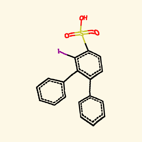 O=S(=O)(O)c1ccc(-c2ccccc2)c(-c2ccccc2)c1I